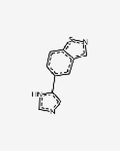 c1ncc(-c2ccc3sncc3c2)[nH]1